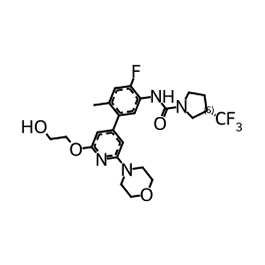 Cc1cc(F)c(NC(=O)N2CC[C@H](C(F)(F)F)C2)cc1-c1cc(OCCO)nc(N2CCOCC2)c1